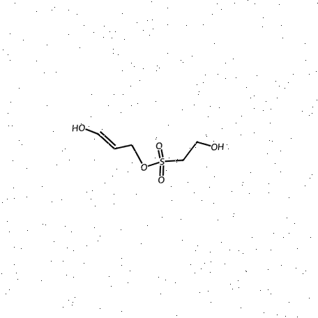 O=S(=O)(CCO)OCC=CO